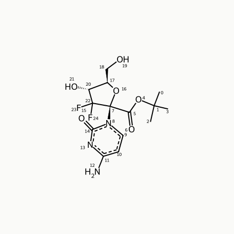 CC(C)(C)OC(=O)[C@@]1(n2ccc(N)nc2=O)O[C@H](CO)[C@@H](O)C1(F)F